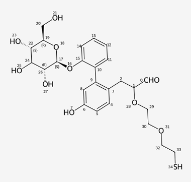 O=CC(Cc1ccc(O)cc1-c1ccccc1O[C@@H]1O[C@H](CO)[C@@H](O)C(O)[C@H]1O)OCCOCCS